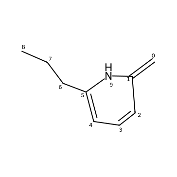 C=C1C=CC=C(CCC)N1